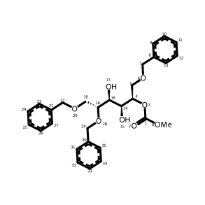 COC(=O)O[C@H](COCc1ccccc1)[C@@H](O)[C@H](O)[C@@H](COCc1ccccc1)OCc1ccccc1